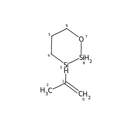 C=C(C)[SiH]1CCCO[SiH2]1